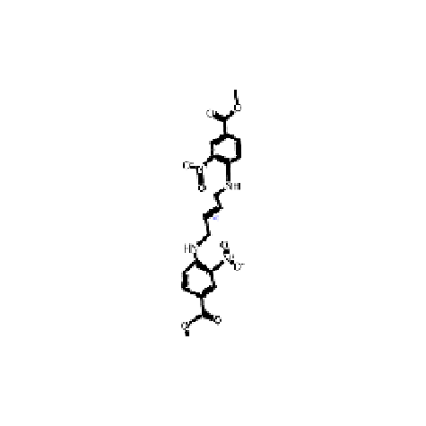 COC(=O)c1ccc(NC/C=C/CNc2ccc(C(=O)OC)cc2[N+](=O)[O-])c([N+](=O)[O-])c1